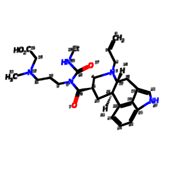 C=CCN1C[C@H](C(=O)N(CCCN(C)CC(=O)O)C(=O)NCC)C[C@@H]2c3cccc4[nH]cc(c34)C[C@H]21